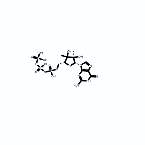 CC1(O)[C@@H](COP(=O)(O)OP(=O)(O)OP(=O)(O)O)O[C@@H](n2cnc3c(=S)[nH]c(N)nc32)[C@]1(C)O